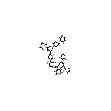 c1ccc(-c2ccc(-c3nc(-c4ccccc4)nc(-c4ccc(-c5cccc(-n6c7ccccc7c7c(-c8ccccc8)cc(-c8ccccc8)cc76)c5)cc4)n3)cc2)cc1